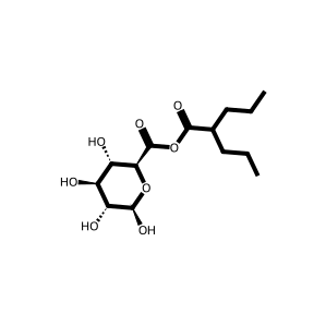 CCCC(CCC)C(=O)OC(=O)[C@H]1O[C@@H](O)[C@H](O)[C@@H](O)[C@@H]1O